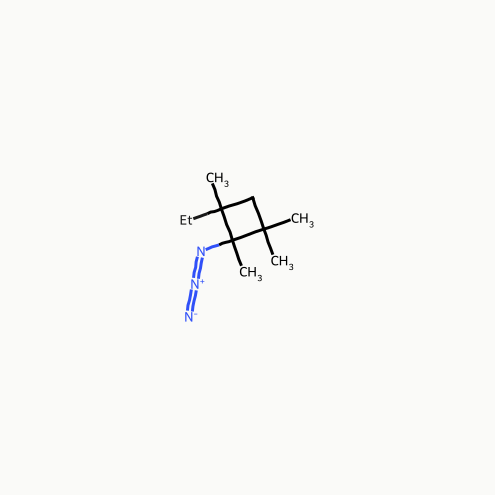 CCC1(C)CC(C)(C)C1(C)N=[N+]=[N-]